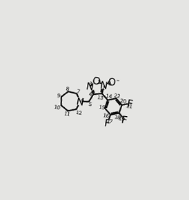 [O-][n+]1onc(CN2CCCCCC2)c1-c1cc(F)c(F)c(F)c1